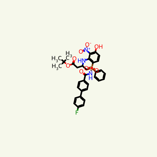 CC(C)(C)OC(=O)CC(CSc1ccccc1)Nc1c(S(=O)(=O)NC(=O)c2ccc(-c3ccc(F)cc3)cc2)ccc(O)c1[N+](=O)[O-]